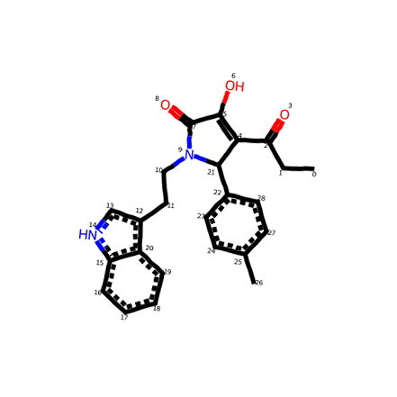 CCC(=O)C1=C(O)C(=O)N(CCc2c[nH]c3ccccc23)C1c1ccc(C)cc1